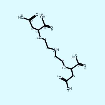 O=C(O)CC(OCCNCCOC(CC(=O)O)C(=O)O)C(=O)O